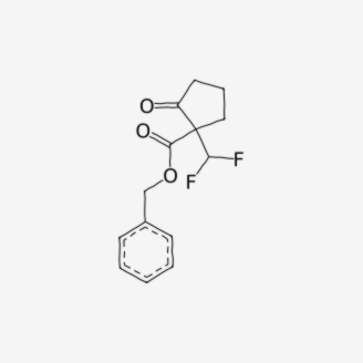 O=C1CCCC1(C(=O)OCc1ccccc1)C(F)F